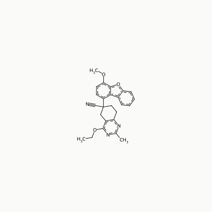 CCOc1nc(C)nc2c1CC(C#N)(c1ccc(OC)c3oc4ccccc4c13)CC2